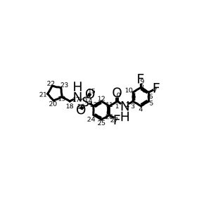 O=C(Nc1ccc(F)c(F)c1)c1cc(S(=O)(=O)NCC2CCCC2)ccc1F